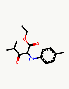 CCOC(=O)C(Nc1ccc(C)cc1)C(=O)C(C)C